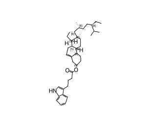 CC[C@H](CC[C@@H](C)[C@H]1CC[C@H]2[C@@H]3CC=C4C[C@@H](OC(=O)CCCc5c[nH]c6ccccc56)CC[C@]4(C)[C@H]3CC[C@]12C)C(C)C